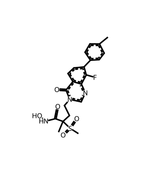 Cc1ccc(-c2ccc3c(=O)n(CCC(C)(C(=O)NO)S(C)(=O)=O)cnc3c2F)cc1